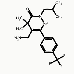 CC(C)CN1NC(c2ccc(C(F)(F)F)cc2)=C(CN)C(C)(C)C1=O